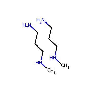 CNCCCN.CNCCCN